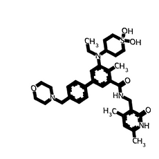 CCN(c1cc(-c2ccc(CN3CCOCC3)cc2)cc(C(=O)NCc2c(C)cc(C)[nH]c2=O)c1C)C1CCS(O)(O)CC1